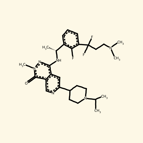 CC(C)N1CCC(c2cc3c(N[C@H](C)c4cccc(C(F)(F)CCN(C)C)c4F)nn(C)c(=O)c3cn2)CC1